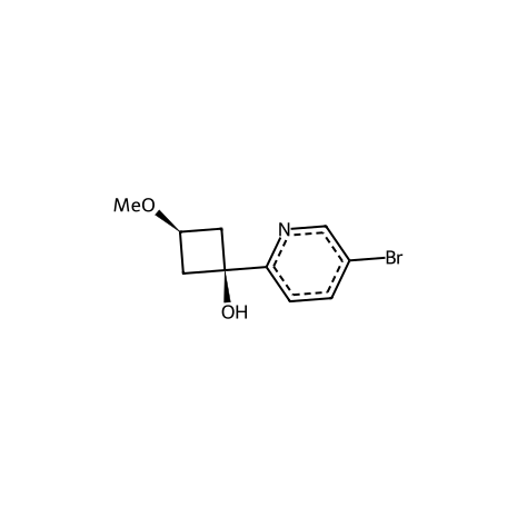 CO[C@H]1C[C@](O)(c2ccc(Br)cn2)C1